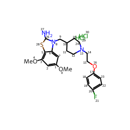 COc1cc(OC)c2c(c1)N(CC1CCN(CCOc3ccc(F)cc3)CC1)C(N)S2.Cl.Cl